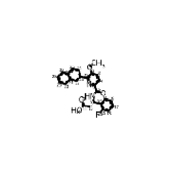 COc1ccc(C(=O)N[C@@H](CC(=O)O)c2ccccc2F)nc1-c1ccc2ccccc2c1